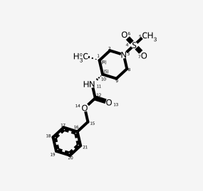 C[C@@H]1CN(S(C)(=O)=O)CC[C@@H]1NC(=O)OCc1ccccc1